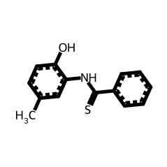 Cc1ccc(O)c(NC(=S)c2ccccc2)c1